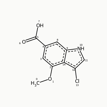 COc1cc(C(=O)O)cc2[nH]cc(Cl)c12